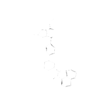 COC(=O)[C@@H]1C[C@@H](O)CN1C(=O)c1ccc([C@H]2CCC[C@H](N[C@H](C)c3cccc4ccccc34)C2)cc1